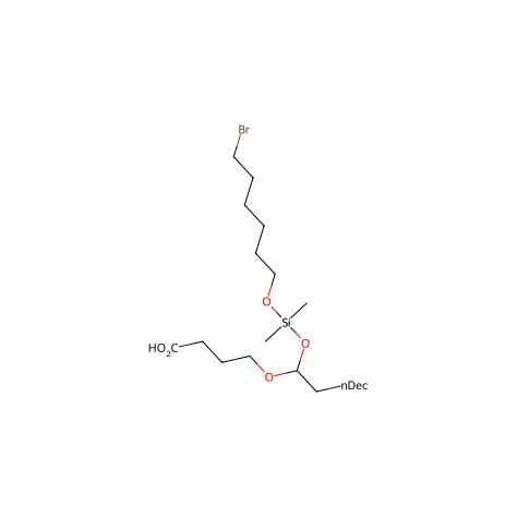 CCCCCCCCCCCC(OCCCC(=O)O)O[Si](C)(C)OCCCCCCBr